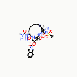 CNC(=O)N[C@H]1CCCCC/C=C\[C@@H]2C[C@@]2(C(=O)NS(=O)(=O)C2CC2)NC(=O)[C@@H]2C[C@@H](OC(=O)N3Cc4ccccc4C3)CN2C1=O